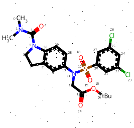 CN(C)C(=O)N1CCc2cc(N(CC(=O)OC(C)(C)C)S(=O)(=O)c3cc(Cl)cc(Cl)c3)ccc21